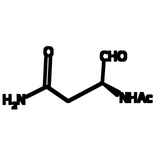 CC(=O)N[C@H](C=O)CC(N)=O